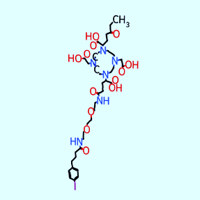 CCC(=O)CCC(C(=O)O)N1CCN(CC(=O)O)CCN(C(CCC(=O)NCCOCCOCCNC(=O)CCCc2ccc(I)cc2)C(=O)O)CCN(CC(=O)O)CC1